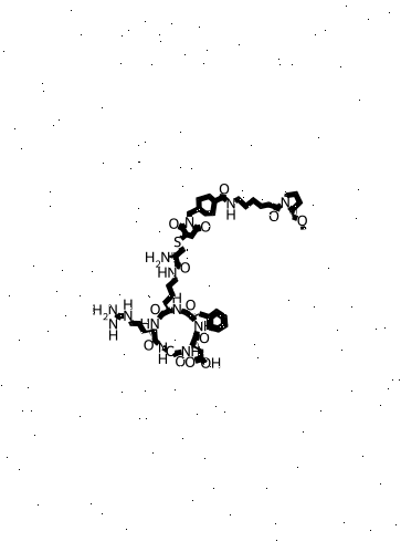 COC[C@@H]1CCCN1C(=O)CCCCCNC(=O)C1CCC(CN2C(=O)CC(SC[C@H](N)C(=O)NCCCC[C@H]3NC(=O)[C@H](Cc4ccccc4)NC(=O)[C@@H](CC(=O)O)NC(=O)CNC(=O)[C@@H](CCCNC(=N)N)NC3=O)C2=O)CC1